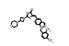 O=C1N=C(N2CC(N3CCOCC3)C2)S/C1=C\c1ccc2c(cnn2Cc2ccc(C(F)(F)F)cc2C(F)(F)F)c1